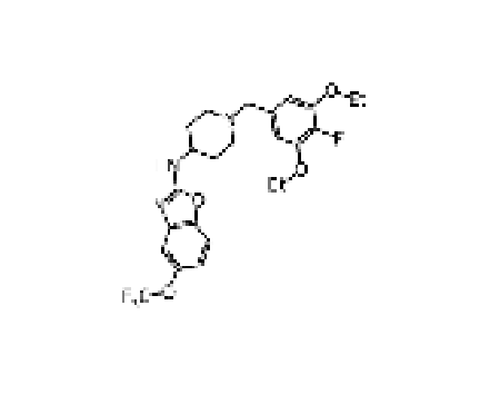 CCOc1cc(CN2CCC(Nc3nc4cc(OC(F)(F)F)ccc4o3)CC2)cc(OCC)c1F